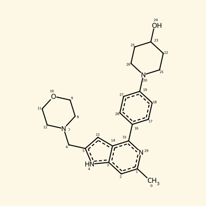 Cc1cc2[nH]c(CN3CCOCC3)cc2c(-c2ccc(N3CCC(O)CC3)cc2)n1